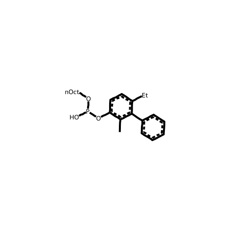 CCCCCCCCOP(O)Oc1ccc(CC)c(-c2ccccc2)c1C